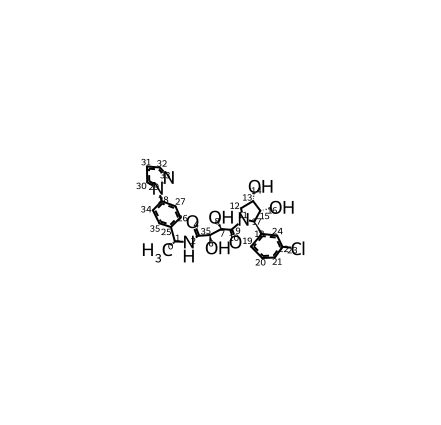 C[C@@H](NC(=O)[C@H](O)[C@@H](O)C(=O)N1C[C@H](O)[C@H](O)[C@H]1c1cccc(Cl)c1)c1ccc(-n2cccn2)cc1